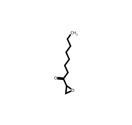 CCCCCCCC(=O)C1CO1